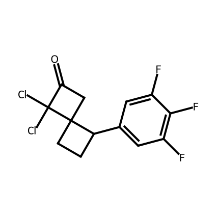 O=C1CC2(CCC2c2cc(F)c(F)c(F)c2)C1(Cl)Cl